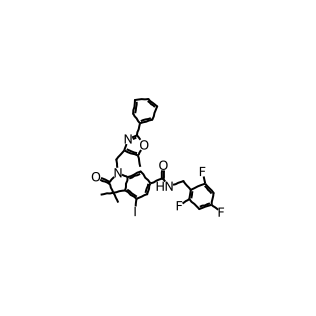 Cc1oc(-c2ccccc2)nc1CN1C(=O)C(C)(C)c2c(I)cc(C(=O)NCc3c(F)cc(F)cc3F)cc21